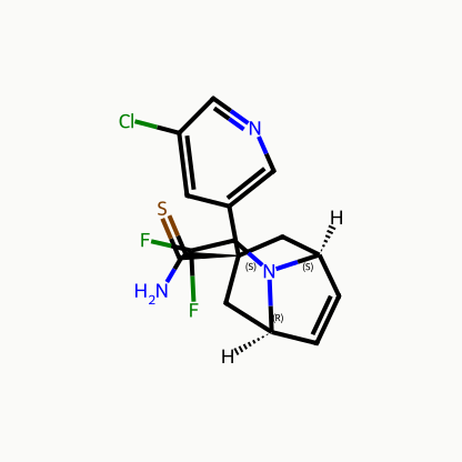 NC(=S)[C@@]1(c2cncc(Cl)c2)C[C@H]2C=C[C@@H](C1)N2CC(F)F